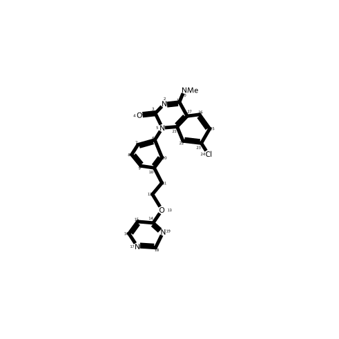 CNc1nc(=O)n(-c2cccc(CCOc3ccncn3)c2)c2cc(Cl)ccc12